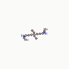 CCn1c2ccc(-c3ccc(-c4ccc(-c5c6ccc(-c7cccc(C)c7)cc6c(-c6ccc(-c7ccc(-c8ccc9c(c8)c8cc(C(C)(C)C)ccc8n9CC)cc7)cc6)c6ccc(-c7cccc(C)c7)cc56)cc4)cc3)cc2c2cc(C(C)(C)C)ccc21